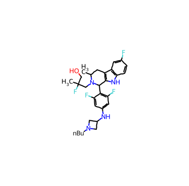 CCCCN1CC(Nc2cc(F)c(C3c4[nH]c5ccc(F)cc5c4CC(C)N3CC(C)(F)CO)c(F)c2)C1